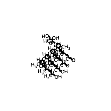 CC1=C(/C=C/C(C)=C/C=C/C(C)=C/C=O)C(C)(C)CCC1.CC1=C(/C=C/C(C)=C/C=C/C(C)=C/C=O)C(C)(C)CCC1.CC1=C(/C=C/C(C)=C/C=C/C(C)=C/CO)C(C)(C)CCC1.CC1=C(/C=C/C(C)=C/C=C/C(C)=C/CO)C(C)(C)CCC1.O=C(CO)[C@H](O)[C@H](O)CO